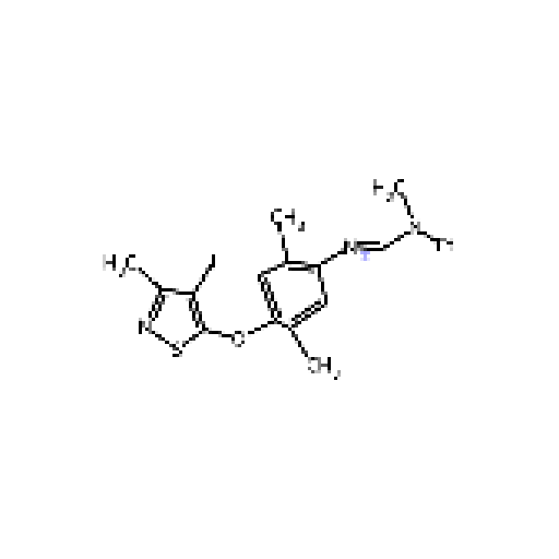 CCN(C)/C=N/c1cc(C)c(Oc2snc(C)c2I)cc1C